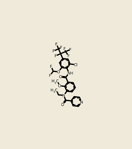 CCN(C(=O)c1ccncc1)c1cccc(C(=O)Nc2c(Cl)cc(C(F)(C(F)(F)F)C(F)(F)F)cc2OC(F)F)c1OC